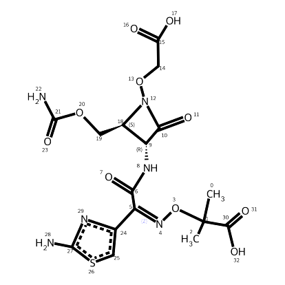 CC(C)(O/N=C(\C(=O)N[C@H]1C(=O)N(OCC(=O)O)[C@@H]1COC(N)=O)c1csc(N)n1)C(=O)O